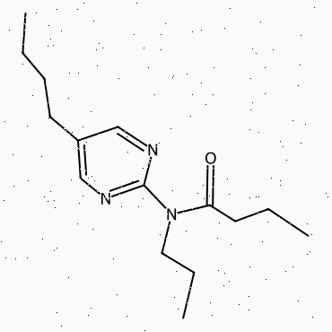 CCCCc1cnc(N(CCC)C(=O)CCC)nc1